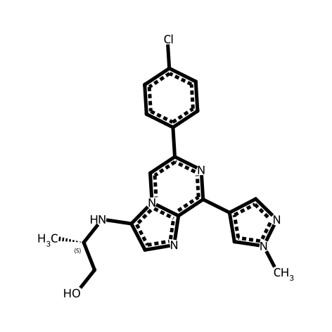 C[C@@H](CO)Nc1cnc2c(-c3cnn(C)c3)nc(-c3ccc(Cl)cc3)cn12